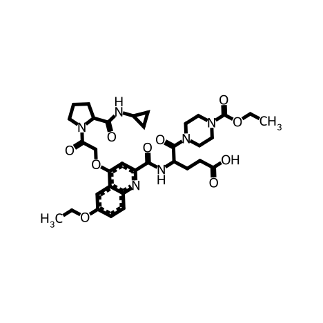 CCOC(=O)N1CCN(C(=O)C(CCC(=O)O)NC(=O)c2cc(OCC(=O)N3CCCC3C(=O)NC3CC3)c3cc(OCC)ccc3n2)CC1